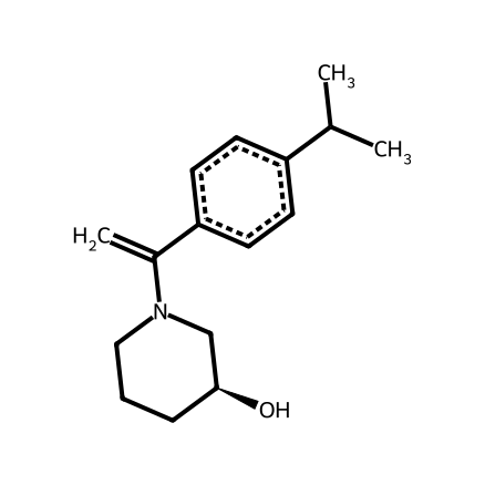 C=C(c1ccc(C(C)C)cc1)N1CCC[C@H](O)C1